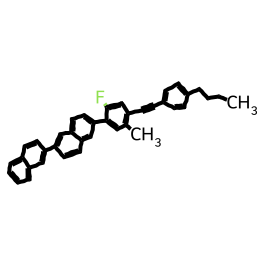 CCCCc1ccc(C#Cc2cc(F)c(-c3ccc4cc(-c5ccc6ccccc6c5)ccc4c3)cc2C)cc1